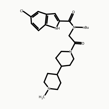 CCCCN(CC(=O)N1CCC(C2CCN(C)CC2)CC1)C(=O)c1cc2cc(Cl)ccc2[nH]1